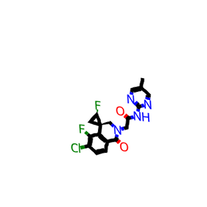 Cc1cnc(NC(=O)CN2C[C@]3(C[C@@H]3F)c3c(ccc(Cl)c3F)C2=O)nc1